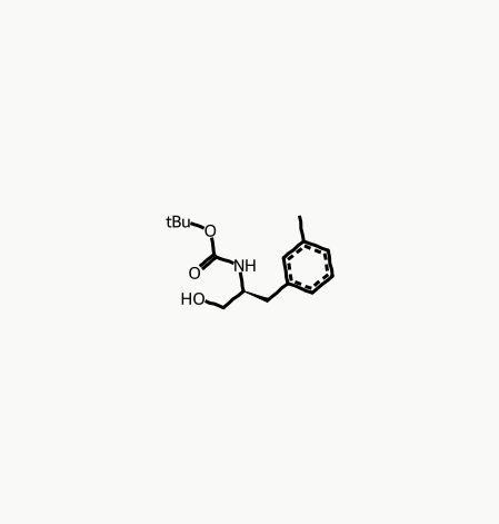 Cc1cccc(C[C@@H](CO)NC(=O)OC(C)(C)C)c1